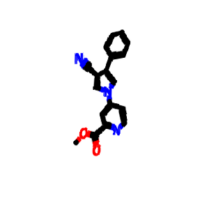 COC(=O)c1cc(-n2cc(C#N)c(-c3ccccc3)c2)ccn1